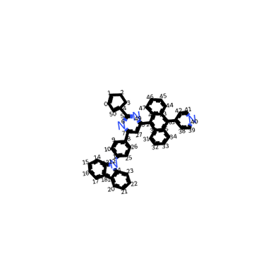 C1=CCCC(c2nc(-c3ccc(-n4c5ccccc5c5ccccc54)cc3)cc(-c3c4ccccc4c(-c4ccncc4)c4ccccc34)n2)=C1